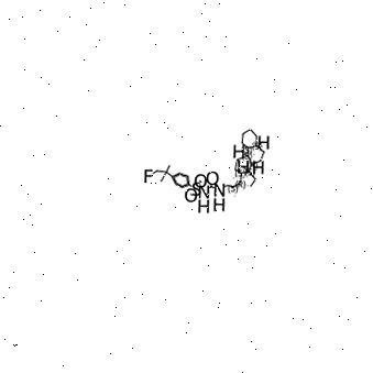 C[C@H](CNC(=O)NS(=O)(=O)c1ccc(C(C)(C)CF)cc1)[C@H]1CC[C@H]2[C@@H]3CC[C@@H]4CCCC[C@]4(C)[C@H]3CC[C@]12C